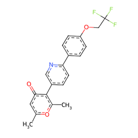 Cc1cc(=O)c(-c2ccc(-c3ccc(OCC(F)(F)F)cc3)nc2)c(C)o1